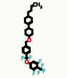 C=CCCC1CC=C(C2CCC(OCc3ccc(C(F)(F)Oc4cc(F)c(C(F)(F)F)c(F)c4)cc3)CC2)CC1